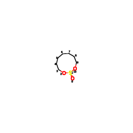 O=S1OCCCCCCCO1